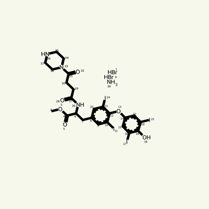 Br.Br.COC(=O)C(Cc1cc(I)c(Oc2cc(I)c(O)c(I)c2)c(I)c1)NC(=O)CCC(=O)N1CCNCC1.N